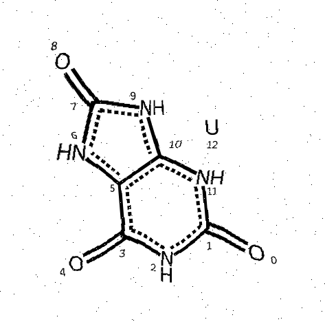 O=c1[nH]c(=O)c2[nH]c(=O)[nH]c2[nH]1.[U]